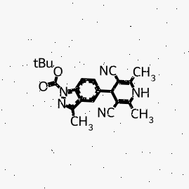 CC1=C(C#N)C(c2ccc3c(c2)c(C)nn3C(=O)OC(C)(C)C)C(C#N)=C(C)N1